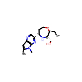 CC(C)C[C@@H]1OCC[C@@H](c2cnc3cc(C(C)(C)C)n(C)c3n2)N[C@H]1CO